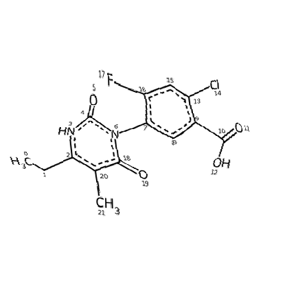 CCc1[nH]c(=O)n(-c2cc(C(=O)O)c(Cl)cc2F)c(=O)c1C